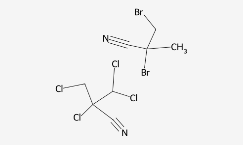 CC(Br)(C#N)CBr.N#CC(Cl)(CCl)C(Cl)Cl